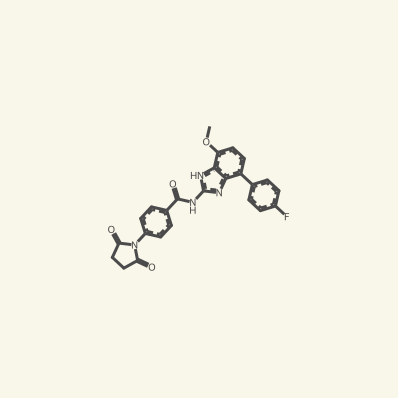 COc1ccc(-c2ccc(F)cc2)c2nc(NC(=O)c3ccc(N4C(=O)CCC4=O)cc3)[nH]c12